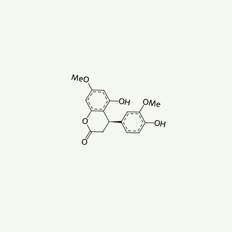 COc1cc(O)c2c(c1)OC(=O)C[C@@H]2c1ccc(O)c(OC)c1